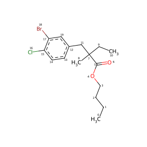 CCCCOC(=O)C(C)(CC)Cc1ccc(Cl)c(Br)c1